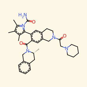 Cc1c(C)c(-c2cc3c(cc2C(=O)N2Cc4ccccc4C[C@H]2C)CN(C(=O)CN2CCCCC2)CC3)n(C(N)=O)c1C